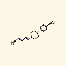 N#C/C=C/C=C/[C@H]1CC[C@H](c2ccc(C#N)cc2)CC1